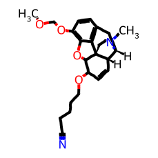 COCOc1ccc2c3c1OC1C(OCCCCC#N)C=C[C@H]4[C@@H](C2)N(C)CC[C@]314